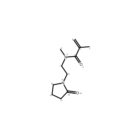 C=C(C)C(=O)N(C)CCN1CCCC1=O